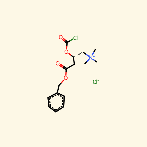 C[N+](C)(C)C[C@H](CC(=O)OCc1ccccc1)OC(=O)Cl.[Cl-]